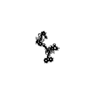 CC(NC[C@@H](NC(=O)OCC1c2ccccc2-c2ccccc21)C(=O)NCCCOc1ccc2ncnc(C(=O)NCC(=O)N3CCC[C@H]3C#N)c2c1)=C1C(=O)CC(C)(C)CC1=O